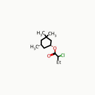 CCC(Cl)C(=O)O[C@@H]1C[C@H](C)CC(C)(C)C1